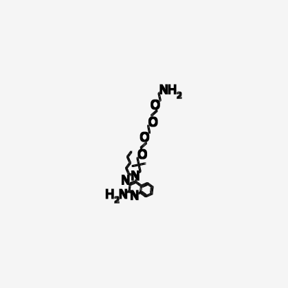 CCCCc1nc2c(N)nc3ccccc3c2n1CC(C)(C)COCCOCCOCCOCCN